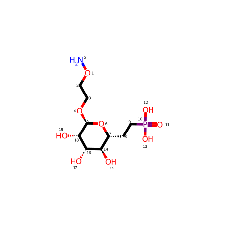 NOCCO[C@H]1O[C@H](CCP(=O)(O)O)[C@@H](O)[C@H](O)[C@@H]1O